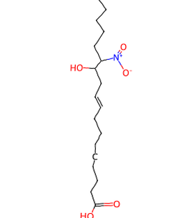 CCCCCC(C(O)CC=CCCCCCCCC(=O)O)[N+](=O)[O-]